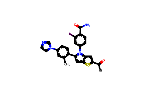 CCC(=O)c1cc2c(cc(-c3ccc(-n4ccnc4)cc3C)n2-c2ccc(C(N)=O)c(I)c2)s1